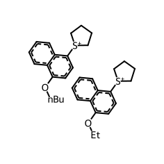 CCCCOc1ccc([S+]2CCCC2)c2ccccc12.CCOc1ccc([S+]2CCCC2)c2ccccc12